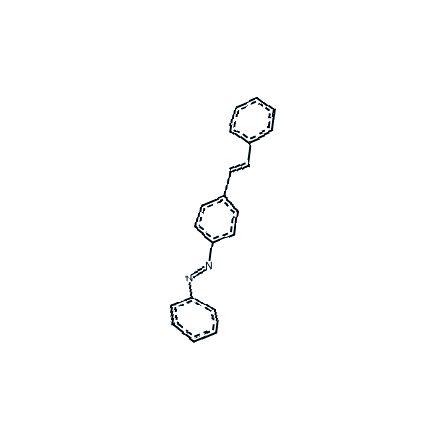 C(=Cc1ccc(/N=N/c2ccccc2)cc1)c1ccccc1